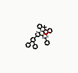 CC1(C)c2ccccc2N(c2ncc(-c3ccc(-c4ccccc4)c(-c4ccccc4)c3)cc2-c2nc(-c3ccccc3)nc(-c3ccccc3)n2)c2ccccc21